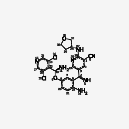 N#Cc1cc(C(=N)c2cc(O[C@H](N)c3c(Cl)cncc3Cl)ccc2N)cnc1N[C@@H]1CCOC1